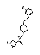 O=C(NCC1CCC(COc2cccc(F)c2)CC1)C1C=NNC1